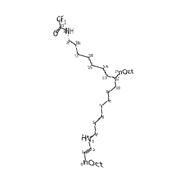 CCCCCCCCC=CNCCCCCCCC(CCCCCCCC)CCCCCCCNC(=O)C(F)(F)F